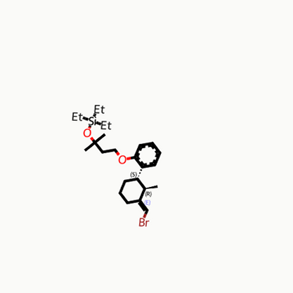 CC[Si](CC)(CC)OC(C)(C)CCOc1ccccc1[C@H]1CCC/C(=C\Br)[C@@H]1C